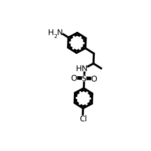 CC(Cc1ccc(N)cc1)NS(=O)(=O)c1ccc(Cl)cc1